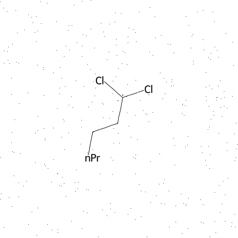 [CH2]CCCC[C](Cl)Cl